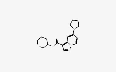 O=C(NC1CCCOC1)c1cnn2ccc(N3CCCC3)cc12